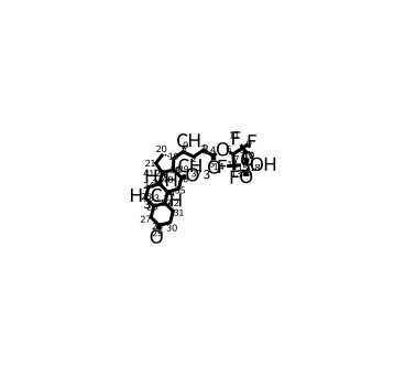 C[C@H](CCC(=O)OC(C(F)(F)F)C(F)(F)S(=O)(=O)O)[C@H]1CC[C@H]2[C@@H]3CCC4CC(=O)CC[C@]4(C)[C@H]3CC(=O)[C@]12C